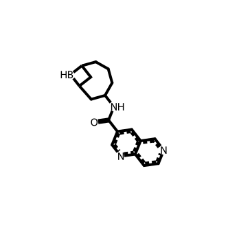 O=C(NC1CCCC2BC(C2)C1)c1cnc2ccncc2c1